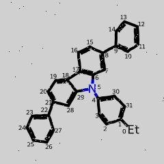 CCc1ccc(-n2c3cc(-c4ccccc4)ccc3c3ccc(-c4ccccc4)cc32)cc1